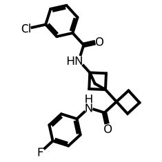 O=C(NC12CC(C3(C(=O)Nc4ccc(F)cc4)CCC3)(C1)C2)c1cccc(Cl)c1